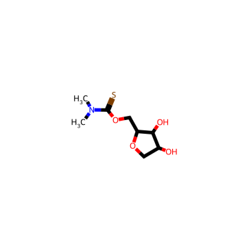 CN(C)C(=S)OCC1OCC(O)C1O